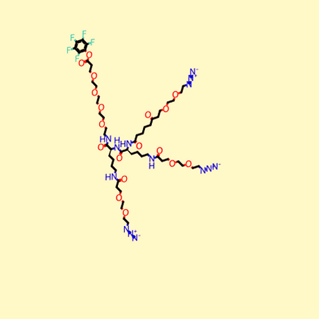 [N-]=[N+]=NCCOCCOCCC(=O)CCCCC(=O)N[C@@H](CCCCNC(=O)CCOCCOCCN=[N+]=[N-])C(=O)N[C@@H](CCCCNC(=O)CCOCCOCCN=[N+]=[N-])C(=O)NCCOCCOCCOCCOCCC(=O)Oc1c(F)c(F)c(F)c(F)c1F